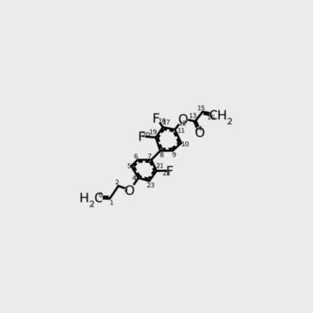 C=CCOc1ccc(-c2ccc(OC(=O)C=C)c(F)c2F)c(F)c1